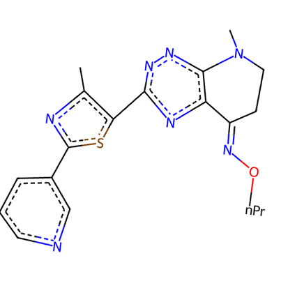 CCCO/N=C1\CCN(C)c2nnc(-c3sc(-c4cccnc4)nc3C)nc21